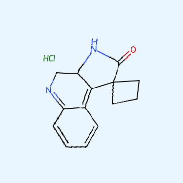 Cl.O=C1NC2CN=c3ccccc3=C2C12CCC2